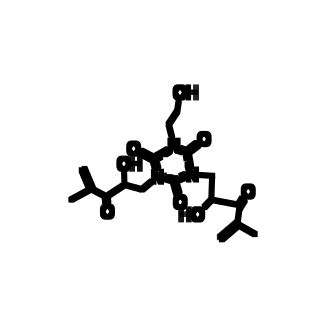 C=C(C)C(=O)C(O)Cn1c(=O)n(CCO)c(=O)n(CC(O)C(=O)C(=C)C)c1=O